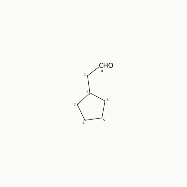 O=CC[C]1CCCC1